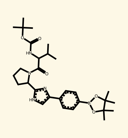 CC(C)C(NC(=O)OC(C)(C)C)C(=O)N1CCCC1c1nc(-c2ccc(B3OC(C)(C)C(C)(C)O3)cc2)c[nH]1